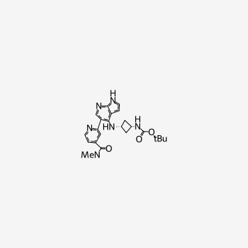 CNC(=O)c1ccnc(-c2cnc3[nH]ccc3c2N[C@H]2C[C@@H](NC(=O)OC(C)(C)C)C2)c1